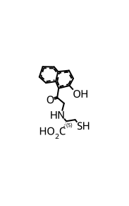 O=C(CN[C@H](CS)C(=O)O)c1c(O)ccc2ccccc12